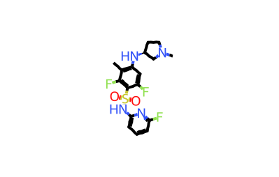 Cc1c(N[C@H]2CCN(C)C2)cc(F)c(S(=O)(=O)Nc2cccc(F)n2)c1F